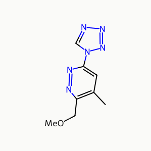 COCc1nnc(-n2cnnn2)cc1C